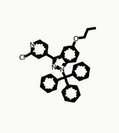 CCCOc1ccc2c(c1)c(-c1ccnc(Cl)c1)nn2C(c1ccccc1)(c1ccccc1)c1ccccc1